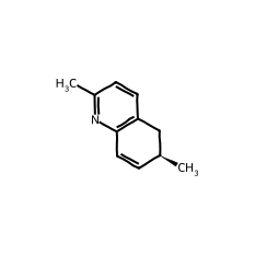 Cc1ccc2c(n1)C=C[C@H](C)C2